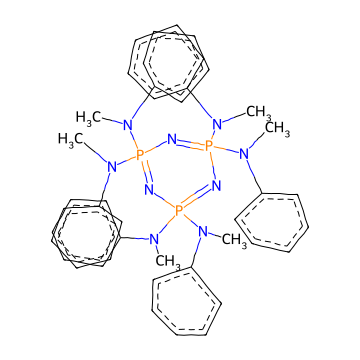 CN(c1ccccc1)P1(N(C)c2ccccc2)=NP(N(C)c2ccccc2)(N(C)c2ccccc2)=NP(N(C)c2ccccc2)(N(C)c2ccccc2)=N1